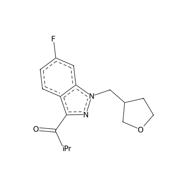 CC(C)C(=O)c1nn(CC2CCOC2)c2cc(F)ccc12